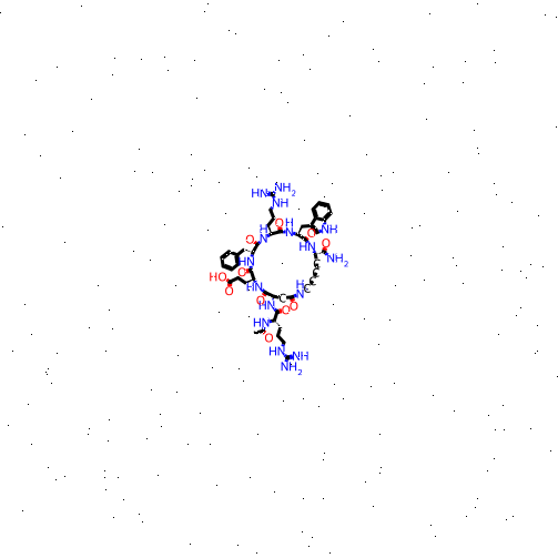 CC(=O)N[C@@H](CCCNC(=N)N)C(=O)N[C@H]1CC(=O)NCCCC[C@@H](C(N)=O)NC(=O)[C@H](Cc2c[nH]c3ccccc23)NC(=O)[C@H](CCCNC(=N)N)NC(=O)[C@@H](Cc2ccccc2)NC(=O)[C@H](CCC(=O)O)NC1=O